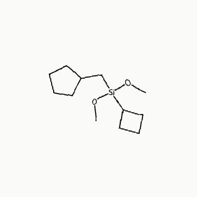 CO[Si](CC1CCCC1)(OC)C1CCC1